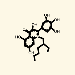 CCCCC(CC)Cn1c(-c2cc(O)c(O)c(O)c2)c(O)c(=O)c2c(O)cc(O)cc21